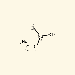 O.[Cl][Nd]([Cl])[Cl].[Nd]